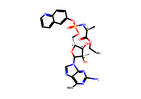 CSc1nc(N)nc2c1ncn2C1O[C@H](COP(=O)(N[C@@H](C)C(=O)OCC(C)(C)C)Oc2ccc3ncccc3c2)[C@@H](O)[C@@]1(C)O